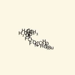 CC(C)(C)OC(=O)[C@H]1[C@H]2Cc3cc(OCc4cc(B5OC(C)(C)C(C)(C)O5)c(F)cc4F)ncc3[C@@H]21